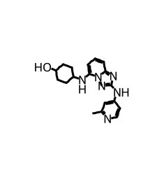 Cc1cc(Nc2nc3cccc(NC4CCC(O)CC4)n3n2)ccn1